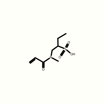 C=CC(=O)N(C)CC(CC)S(=O)(=O)O